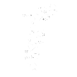 COc1cc2c(cc1OCCN(CCOc1cc3c(cc1OC)C(=O)N1Cc4ccccc4C[C@H]1C=N3)c1ccncc1)N=C[C@@H]1Cc3ccccc3CN1C2=O